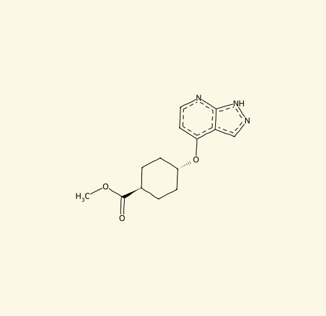 COC(=O)[C@H]1CC[C@H](Oc2ccnc3[nH]ncc23)CC1